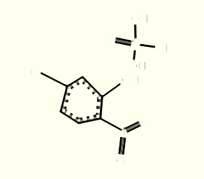 O=I(=O)c1ccc(Cl)cc1O.O=P(O)(O)O